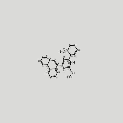 CC(C)OC1=NC(C2=CC3C=CC=CC3c3ccccc32)=NC(C2C=CCCC2O)N1